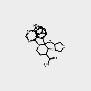 Cc1c[nH]c2ncnc(N3CCC(C(N)=O)C(O)C3(OC3CCOC3)c3ccccc3)c12